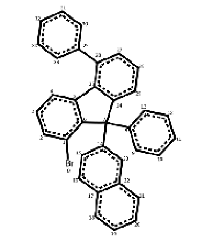 Brc1cccc2c1C(c1ccccc1)(c1ccc3ccccc3c1)c1cccc(-c3ccccc3)c1-2